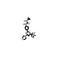 CC(C)(c1cc(N2CCOCC2)nc(-c2ccc(NC(=O)NC3CC3)cc2)n1)S(C)(=O)=O